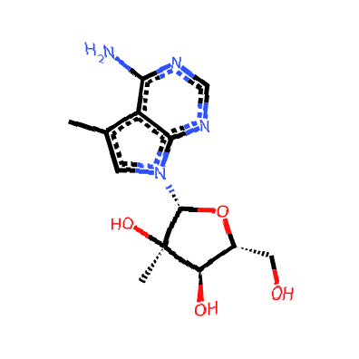 Cc1cn([C@@H]2O[C@H](CO)[C@@H](O)[C@@]2(C)O)c2ncnc(N)c12